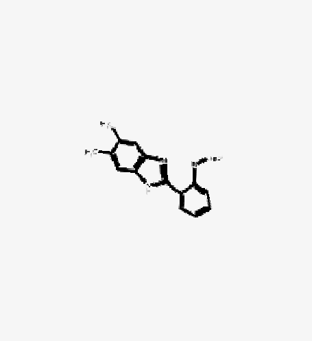 Cc1cc2nc(-c3ccccc3NC=O)[nH]c2cc1C